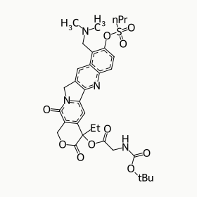 CCCS(=O)(=O)Oc1ccc2nc3c(cc2c1CN(C)C)Cn1c-3cc2c(c1=O)COC(=O)C2(CC)OC(=O)CNC(=O)OC(C)(C)C